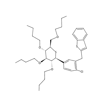 CCCCOC[C@H]1S[C@@H](c2ccc(Cl)c(Cc3cc4ccccc4s3)c2)[C@H](OCCCC)[C@@H](OCCCC)[C@@H]1OCCCC